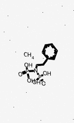 C.O=P(O)(O)N(CCc1ccccc1)P(=O)(O)O